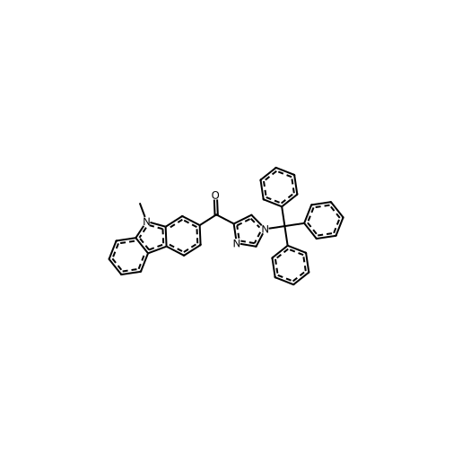 Cn1c2ccccc2c2ccc(C(=O)c3cn(C(c4ccccc4)(c4ccccc4)c4ccccc4)cn3)cc21